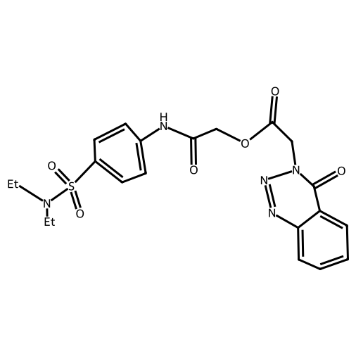 CCN(CC)S(=O)(=O)c1ccc(NC(=O)COC(=O)Cn2nnc3ccccc3c2=O)cc1